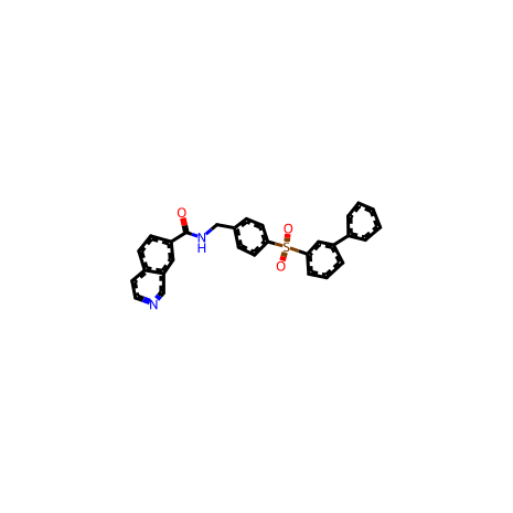 O=C(NCc1ccc(S(=O)(=O)c2cccc(-c3ccccc3)c2)cc1)c1ccc2ccncc2c1